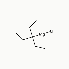 CC[C](CC)(CC)[Mg][Cl]